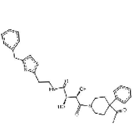 CC(=O)C1(c2ccccc2)CCN(C(=O)[C@H](O)[C@@H](O)C(=O)NCCc2nc(Cc3ccccc3)cs2)CC1